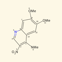 CNc1c([N+](=O)[O-])cnc2cc(OC)c(OC)cc12